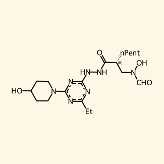 CCCCC[C@H](CN(O)C=O)C(=O)NNc1nc(CC)nc(N2CCC(O)CC2)n1